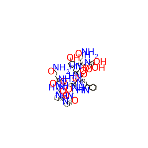 NC(=O)CC[C@H](NC(=O)CNC(=O)[C@@H]1CCCN1C(=O)[C@@H]1CCCN1C(=O)CNC(=O)[C@@H](N)CCC(N)=O)C(=O)N[C@@H](Cc1c[nH]c2ccccc12)C(=O)N[C@@H](Cc1ccc(O)cc1)C(=O)N[C@@H](CCC(N)=O)C(=O)N[C@@H](CO)C(=O)O